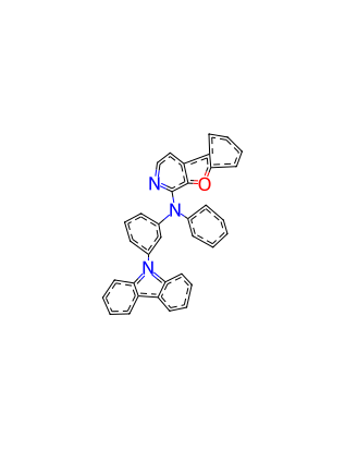 c1ccc(N(c2cccc(-n3c4ccccc4c4ccccc43)c2)c2nccc3c2oc2ccccc23)cc1